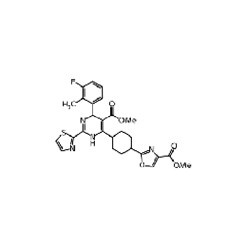 COC(=O)C1=C(C2CCC(c3nc(C(=O)OC)co3)CC2)NC(c2nccs2)=NC1c1cccc(F)c1C